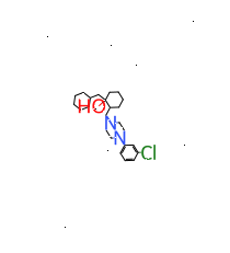 OC1(CC2CCCCC2)CCCCC1CN1CCN(c2cccc(Cl)c2)CC1